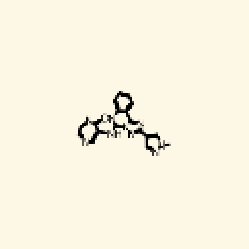 Cn1cc(-c2nc3c4ccccc4nc(Nc4cnccnc4=O)n3n2)cn1